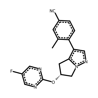 Cc1cc(C#N)ccc1-c1cnn2c1C[C@@H](Oc1ncc(F)cn1)C2